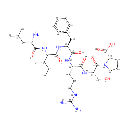 CC[C@H](C)[C@H](NC(=O)[C@@H](N)CC(C)C)C(=O)N[C@@H](Cc1ccccc1)C(=O)N[C@@H](CCCNC(=N)N)C(=O)N[C@@H](CO)C(=O)N1CCC[C@H]1C(=O)O